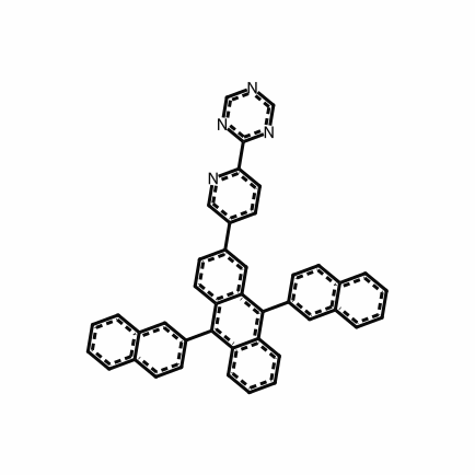 c1ccc2cc(-c3c4ccccc4c(-c4ccc5ccccc5c4)c4cc(-c5ccc(-c6ncncn6)nc5)ccc34)ccc2c1